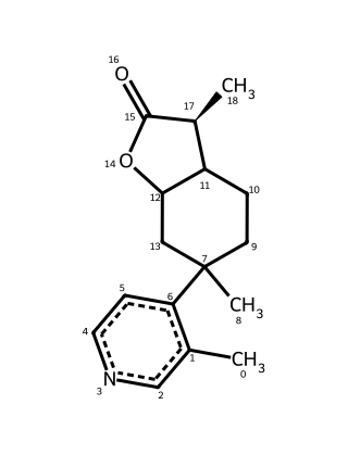 Cc1cnccc1C1(C)CCC2C(C1)OC(=O)[C@H]2C